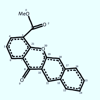 COC(=O)c1cccc2c(=O)c3cc4ccccc4cc3oc12